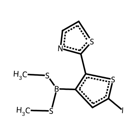 CSB(SC)c1cc(I)sc1-c1nccs1